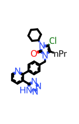 CCCc1c(Cl)n(C2CCCCC2)c(=O)n1Cc1ccc(-c2ncccc2-c2nnn[nH]2)cc1